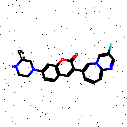 C[C@@H]1CN(c2ccc3cc(C4=CN5C=C(F)C=NC5=CC=C4)c(=O)oc3c2)CCN1